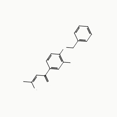 C/C(O)=C/C(=O)c1ccc(OCc2ccccc2)c(Cl)c1